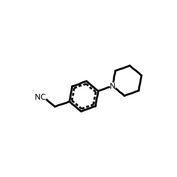 N#CCc1ccc(N2CCCCC2)cc1